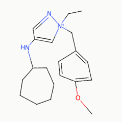 CC[N+]1(Cc2ccc(OC)cc2)C=C(NC2CCCCCC2)C=N1